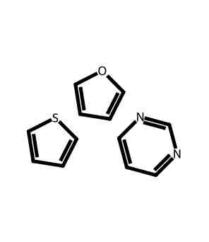 c1ccoc1.c1ccsc1.c1cncnc1